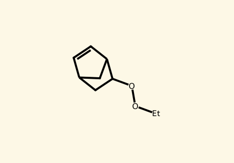 CCOOC1CC2C=CC1C2